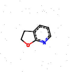 c1cnc2c(c1)CCO2